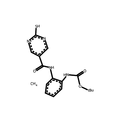 C.CC(C)(C)OC(=O)Nc1ccccc1NC(=O)c1cnc(S)nc1